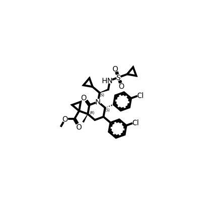 COC(=O)C1([C@@]2(C)CC(c3cccc(Cl)c3)[C@@H](c3ccc(Cl)cc3)N([C@H](CNS(=O)(=O)C3CC3)C3CC3)C2=O)CC1